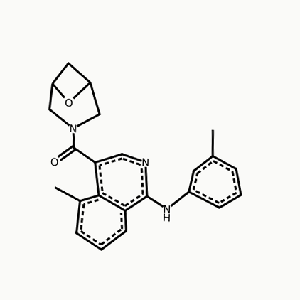 Cc1cccc(Nc2ncc(C(=O)N3CC4CC(C3)O4)c3c(C)cccc23)c1